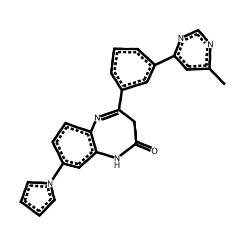 Cc1cc(-c2cccc(C3=Nc4ccc(-n5cccc5)cc4NC(=O)C3)c2)ncn1